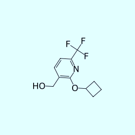 OCc1ccc(C(F)(F)F)nc1OC1CCC1